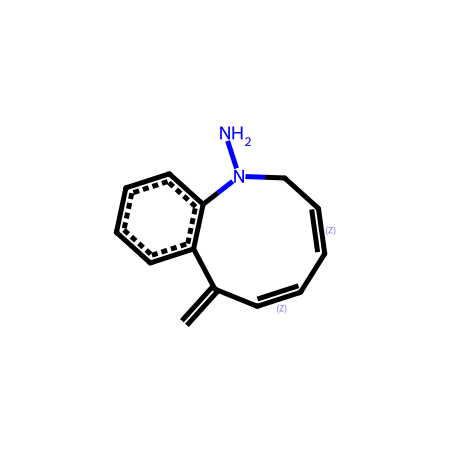 C=C1/C=C\C=C/CN(N)c2ccccc21